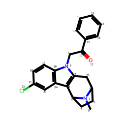 CN1C2CCC1c1c(n(CC(=O)c3ccccc3)c3ccc(Cl)cc13)C2